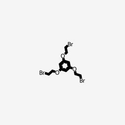 BrCCOc1cc(OCCBr)cc(OCCBr)c1